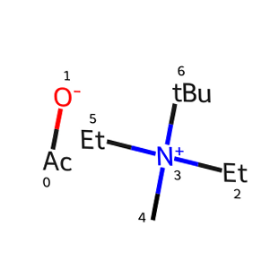 CC(=O)[O-].CC[N+](C)(CC)C(C)(C)C